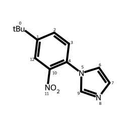 CC(C)(C)c1ccc(-n2ccnc2)c([N+](=O)[O-])c1